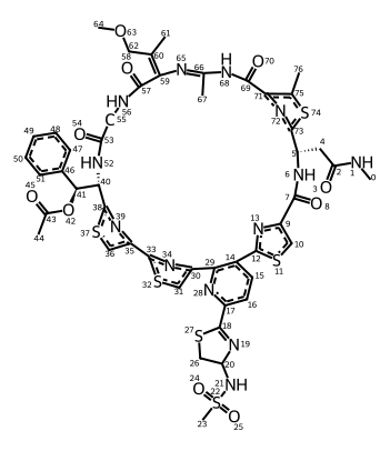 CNC(=O)C[C@@H]1NC(=O)c2csc(n2)-c2ccc(C3=NC(NS(C)(=O)=O)CS3)nc2-c2csc(n2)-c2csc(n2)[C@H]([C@@H](OC(C)=O)c2ccccc2)NC(=O)CNC(=O)C(=C(/C)COC)/N=C(\C)NC(=O)c2nc1sc2C